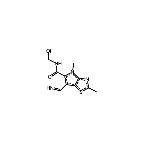 Cc1nc2c(s1)c(C=N)c(C(=O)NCO)n2C